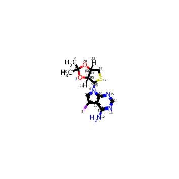 CC1(C)O[C@H]2[C@H](n3cc(I)c4c(N)ncnc43)SC[C@H]2O1